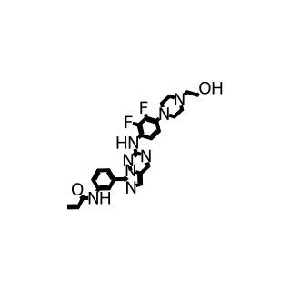 C=CC(=O)Nc1cccc(-c2ncc3cnc(Nc4ccc(N5CCN(CCO)CC5)c(F)c4F)nn23)c1